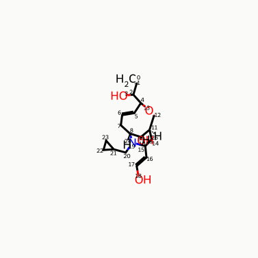 C=CC(O)C1/C=C/C[C@@H]2[C@@H](O)[C@@H](CO1)CC(/C=C/O)N2CC1CC1